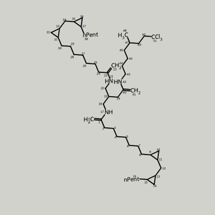 C=C(CCCCCCCC1CC1CC1CC1CCCCC)NCC(CNC(=C)CCCCCCCC1CC1CC1CC1CCCCC)CC(=C)NCCCCC(C)CCC(Cl)(Cl)Cl